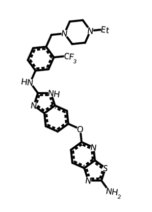 CCN1CCN(Cc2ccc(Nc3nc4ccc(Oc5ccc6nc(N)sc6n5)cc4[nH]3)cc2C(F)(F)F)CC1